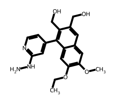 CCOc1cc2c(-c3ccnc(NN)c3)c(CO)c(CO)cc2cc1OC